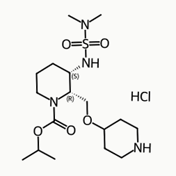 CC(C)OC(=O)N1CCC[C@H](NS(=O)(=O)N(C)C)[C@@H]1COC1CCNCC1.Cl